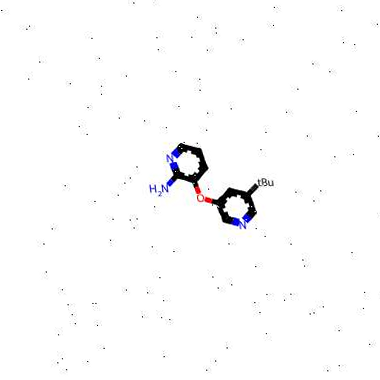 CC(C)(C)c1cncc(Oc2cccnc2N)c1